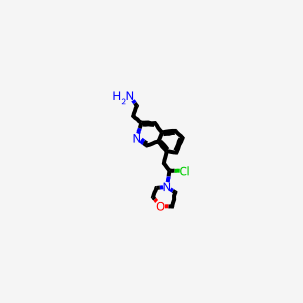 NCCc1cc2cccc(CC(Cl)N3CCOCC3)c2cn1